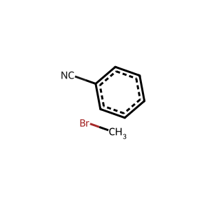 CBr.N#Cc1ccccc1